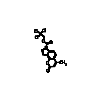 Cc1cc(=O)oc2c1ccc1c2ccn1C(=O)OCC(Cl)(Cl)Cl